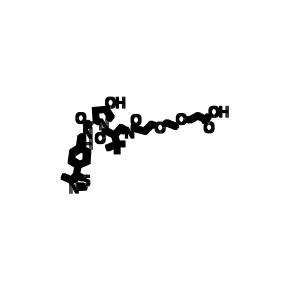 Cc1ncsc1-c1ccc(CNC(=O)[C@@H]2C[C@@H](O)CN2C(=O)C(/C=N/C(=O)CCOCCOCCC(=O)O)C(C)(C)C)cc1